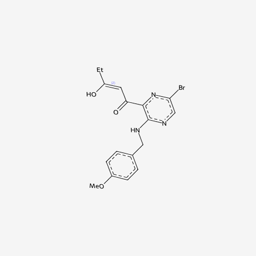 CC/C(O)=C/C(=O)c1nc(Br)cnc1NCc1ccc(OC)cc1